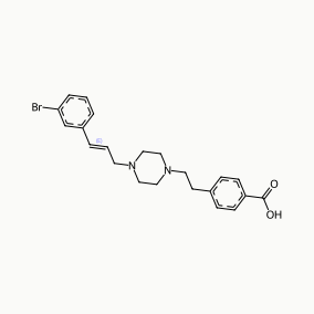 O=C(O)c1ccc(CCN2CCN(C/C=C/c3cccc(Br)c3)CC2)cc1